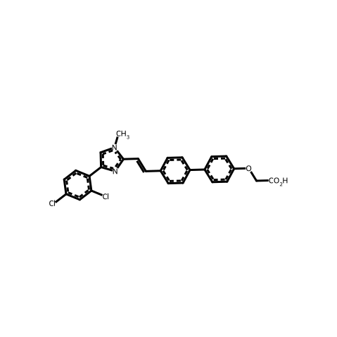 Cn1cc(-c2ccc(Cl)cc2Cl)nc1C=Cc1ccc(-c2ccc(OCC(=O)O)cc2)cc1